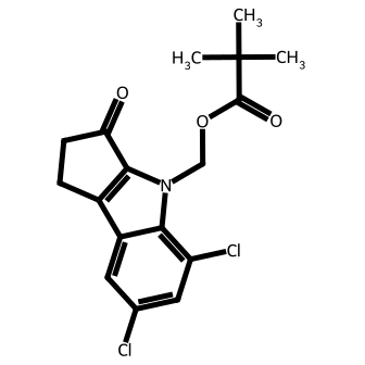 CC(C)(C)C(=O)OCn1c2c(c3cc(Cl)cc(Cl)c31)CCC2=O